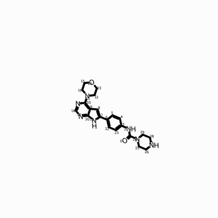 O=C(Nc1ccc(-c2cc3c(N4CCOCC4)ncnc3[nH]2)cc1)N1CCNCC1